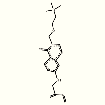 C=NC(=C)CNc1ccc2c(=O)n(COCC[Si](C)(C)C)cnc2c1